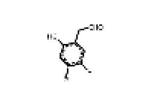 O=CCc1cc(F)c(Br)cc1O